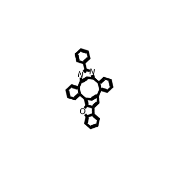 c1ccc(-c2nc3cc(n2)c2ccccc2c2cc(cc4c5ccccc5oc42)c2ccccc32)cc1